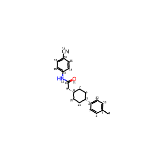 Cc1ccc([C@H]2CC[C@@H](CC(=O)Nc3ccc(C#N)cc3)CC2)cc1